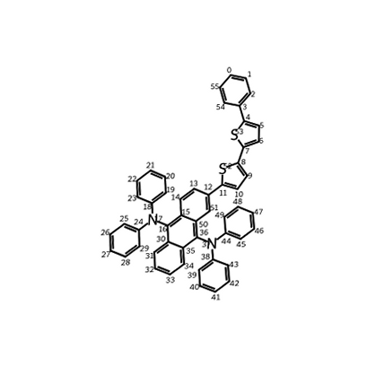 c1ccc(-c2ccc(-c3ccc(-c4ccc5c(N(c6ccccc6)c6ccccc6)c6ccccc6c(N(c6ccccc6)c6ccccc6)c5c4)s3)s2)cc1